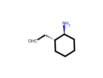 N[C@H]1CCCC[C@@H]1CC=O